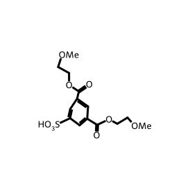 COCCOC(=O)c1cc(C(=O)OCCOC)cc(S(=O)(=O)O)c1